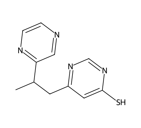 CC(Cc1cc(S)ncn1)c1cnccn1